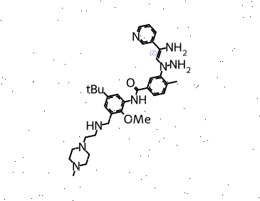 COc1c(CNCCN2CCN(C)CC2)cc(C(C)(C)C)cc1NC(=O)c1ccc(C)c(N(N)/C=C(\N)c2cccnc2)c1